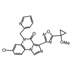 COC1(c2nc(-c3ncn4c3c(=O)n(Cc3ccccn3)c3cc(Cl)ccc34)no2)CC1